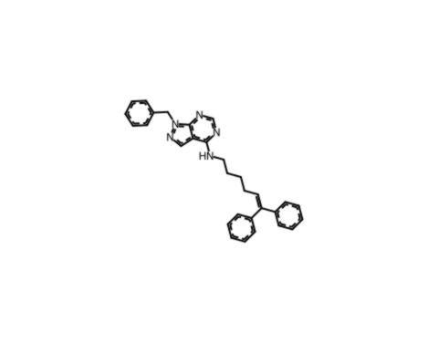 C(CCCCNc1ncnc2c1cnn2Cc1ccccc1)=C(c1ccccc1)c1ccccc1